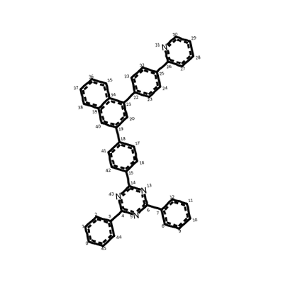 c1ccc(-c2nc(-c3ccccc3)nc(-c3ccc(-c4cc(-c5ccc(-c6ccccn6)cc5)c5ccccc5c4)cc3)n2)cc1